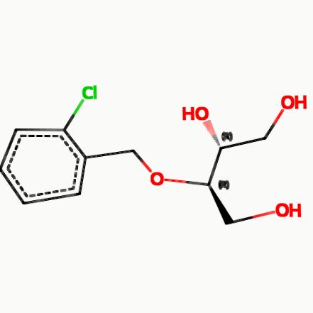 OC[C@@H](O)[C@@H](CO)OCc1ccccc1Cl